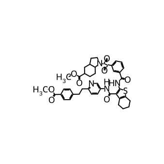 COC(=O)c1ccc(CCc2ccc(NC(=O)c3c(NC(=O)c4cccc(S(=O)(=O)N5CCC6CC(C(=O)OC)CCC65)c4)sc4c3CCCC4)cn2)cc1